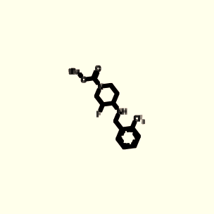 CC(C)(C)OC(=O)N1CCC(NCc2ccccc2C(F)(F)F)C(F)C1